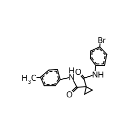 Cc1ccc(NC(=O)C2(C(=O)Nc3ccc(Br)cc3)CC2)cc1